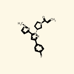 C=CC(=O)N1CC[C@@H](n2nc(-c3ccc(F)cc3)cc2-c2ccn(C)n2)C1